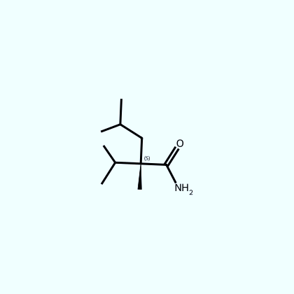 CC(C)C[C@](C)(C(N)=O)C(C)C